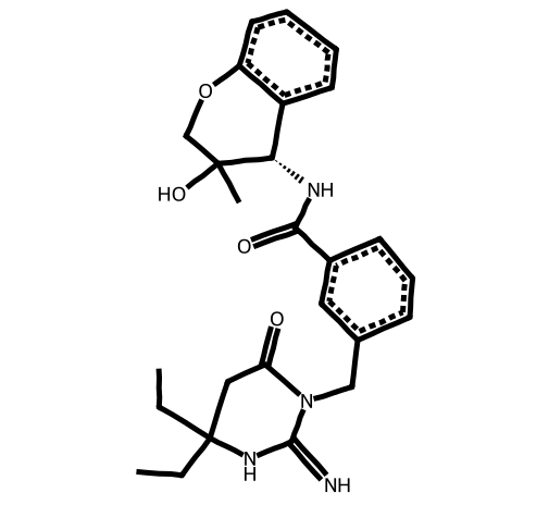 CCC1(CC)CC(=O)N(Cc2cccc(C(=O)N[C@H]3c4ccccc4OCC3(C)O)c2)C(=N)N1